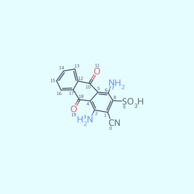 N#Cc1c(N)c2c(c(N)c1S(=O)(=O)O)C(=O)c1ccccc1C2=O